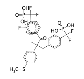 CSc1ccc(C(Cc2ccc(C(F)(F)P(=O)(O)O)cc2)(Cc2ccc(C(F)(F)P(=O)(O)O)cc2)C(=O)c2cccc(F)c2)cc1